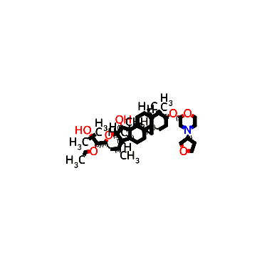 CCO[C@@H]([C@H]1C[C@@H](C)[C@H]2[C@H](O1)[C@H](O)[C@@]1(C)[C@@H]3CC[C@H]4C(C)(C)[C@@H](O[C@H]5CN([C@@H]6CCOC6)CCO5)CC[C@@]45C[C@@]35CC[C@]21C)C(C)(C)O